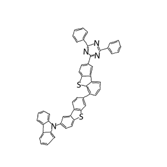 c1ccc(-c2nc(-c3ccccc3)nc(-c3ccc4sc5c(-c6ccc7c(c6)sc6ccc(-n8c9ccccc9c9ccccc98)cc67)cccc5c4c3)n2)cc1